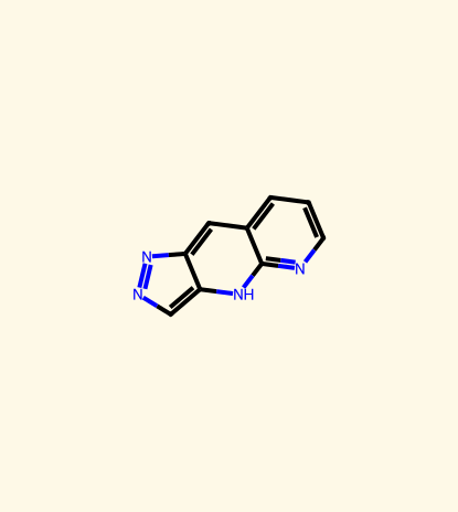 c1cnc2[nH]c3cnnc-3cc2c1